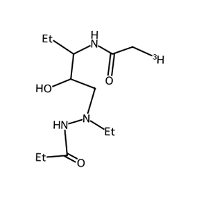 [3H]CC(=O)NC(CC)C(O)CN(CC)NC(=O)CC